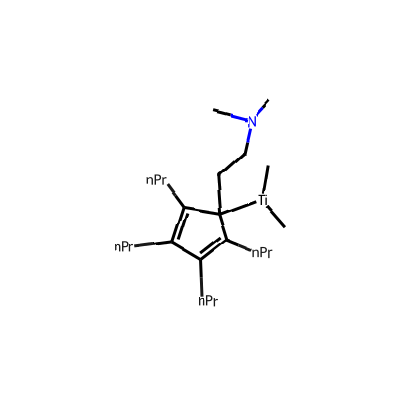 CCCC1=C(CCC)[C](CCN(C)C)([Ti]([CH3])[CH3])C(CCC)=C1CCC